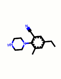 CCc1cc(C)c(N2CCNCC2)c(C#N)c1